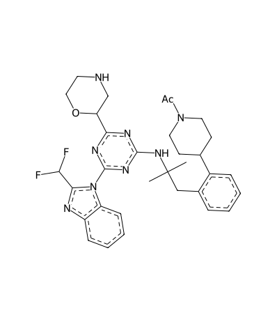 CC(=O)N1CCC(c2ccccc2CC(C)(C)Nc2nc(C3CNCCO3)nc(-n3c(C(F)F)nc4ccccc43)n2)CC1